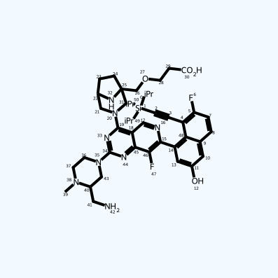 CC(C)[Si](C#Cc1c(F)ccc2cc(O)cc(-c3ncc4c(N5CC6CCC(COCCC(=O)O)(C5)N6)nc(N5CCN(C)C(CN)C5)nc4c3F)c12)(C(C)C)C(C)C